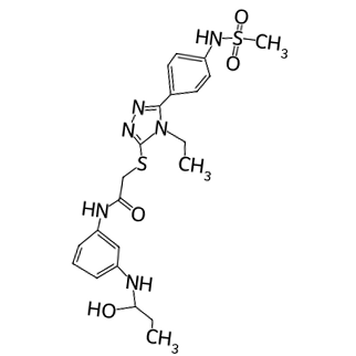 CCC(O)Nc1cccc(NC(=O)CSc2nnc(-c3ccc(NS(C)(=O)=O)cc3)n2CC)c1